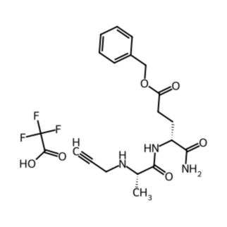 C#CCN[C@@H](C)C(=O)N[C@H](CCC(=O)OCc1ccccc1)C(N)=O.O=C(O)C(F)(F)F